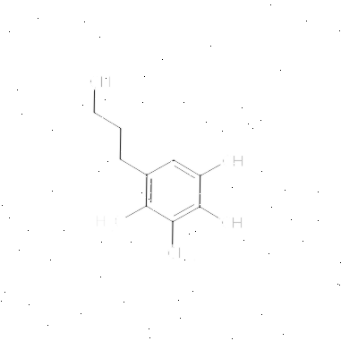 CCCCc1[c]c(C)c(C)c(C)c1C